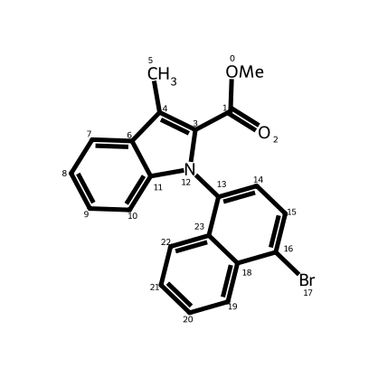 COC(=O)c1c(C)c2ccccc2n1-c1ccc(Br)c2ccccc12